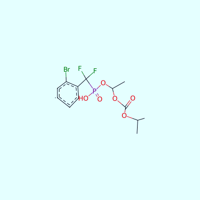 CC(C)OC(=O)OC(C)OP(=O)(O)C(F)(F)c1cc[c]cc1Br